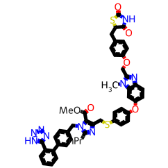 CCCc1nc(CSc2ccc(Oc3ccc4nc(COc5ccc(CC6SC(=O)NC6=O)cc5)n(C)c4c3)cc2)c(C(=O)OC)n1Cc1ccc(-c2ccccc2-c2nnn[nH]2)cc1